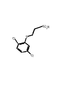 O=S(=O)(O)CCSc1cc(Cl)ccc1Cl